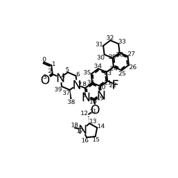 C=CC(=O)N1CCN(c2nc(OC[C@@H]3CCCN3C)nc3c(F)c(-c4cccc5c4CCCC5)ccc23)[C@@H](C)C1